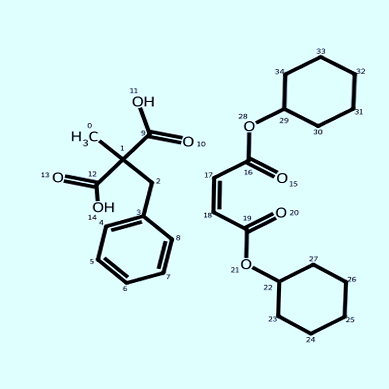 CC(Cc1ccccc1)(C(=O)O)C(=O)O.O=C(/C=C\C(=O)OC1CCCCC1)OC1CCCCC1